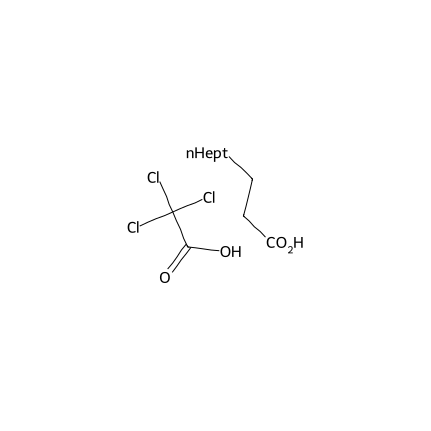 CCCCCCCCCC(=O)O.O=C(O)C(Cl)(Cl)Cl